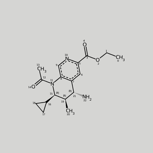 CCOC(=O)c1cc2c(cn1)N(C(C)=O)[C@H](C1CC1)[C@H](C)[C@H]2N